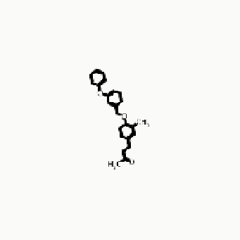 CC(=O)CCc1ccc(OCc2cccc(Oc3ccccc3)c2)c(C)c1